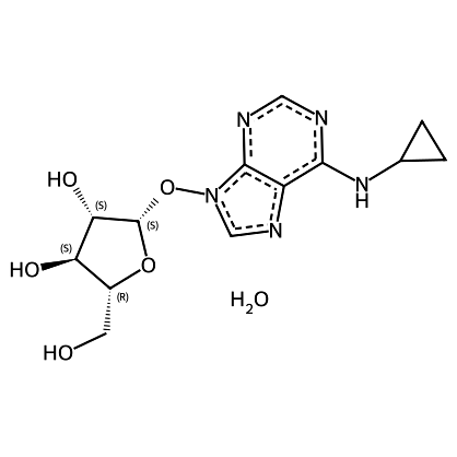 O.OC[C@H]1O[C@@H](On2cnc3c(NC4CC4)ncnc32)[C@@H](O)[C@@H]1O